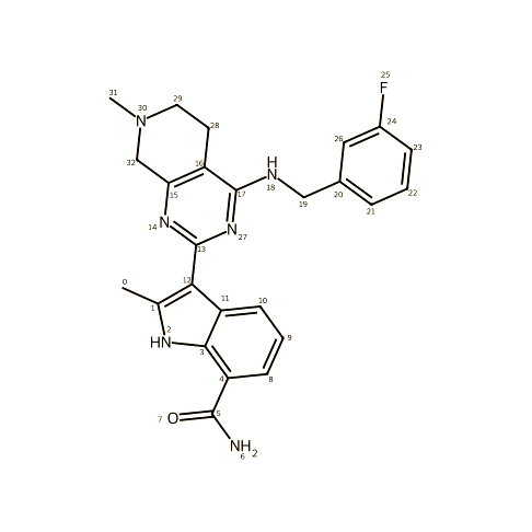 Cc1[nH]c2c(C(N)=O)cccc2c1-c1nc2c(c(NCc3cccc(F)c3)n1)CCN(C)C2